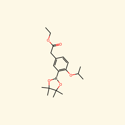 CCOC(=O)Cc1ccc(OC(C)C)c(B2OC(C)(C)C(C)(C)O2)c1